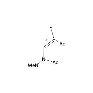 CNN(/C=C(/F)C(C)=O)C(C)=O